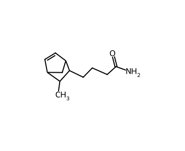 CC1C2C=CC(C2)C1CCCC(N)=O